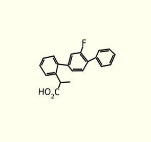 CC(C(=O)O)c1ccccc1-c1ccc(-c2ccccc2)c(F)c1